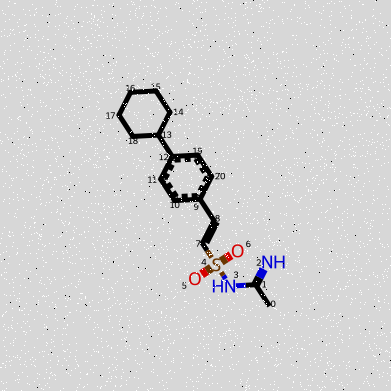 CC(=N)NS(=O)(=O)C=Cc1ccc(C2CCCCC2)cc1